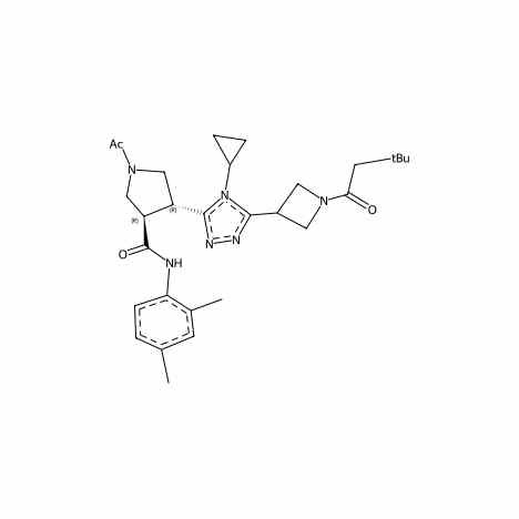 CC(=O)N1C[C@H](C(=O)Nc2ccc(C)cc2C)[C@@H](c2nnc(C3CN(C(=O)CC(C)(C)C)C3)n2C2CC2)C1